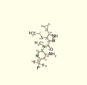 CCSc1c(C(=O)N(C)c2cnc(C(F)(F)F)cc2N)n[nH]c1C1CC1